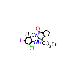 CCOC(=O)c1c2c(c(=O)n(C)c1Nc1ccc(I)cc1Cl)CCC2